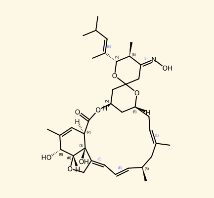 CC1=C[C@H]2C(=O)O[C@H]3C[C@@H](C/C=C(\C)C[C@@H](C)/C=C/C=C4\CO[C@H]([C@@H]1O)[C@@]42O)OC1(C/C(=N\O)[C@H](C)[C@@H](/C(C)=C/C(C)C)O1)C3